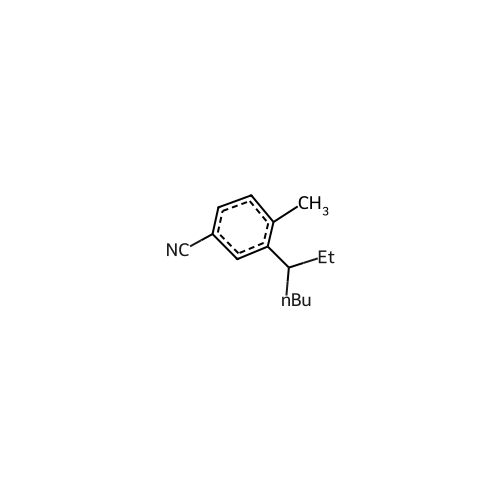 CCCCC(CC)c1cc(C#N)ccc1C